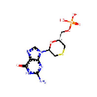 Nc1nc2c(ncn2C2CSC[C@@H](COP(=O)(O)O)O2)c(=O)[nH]1